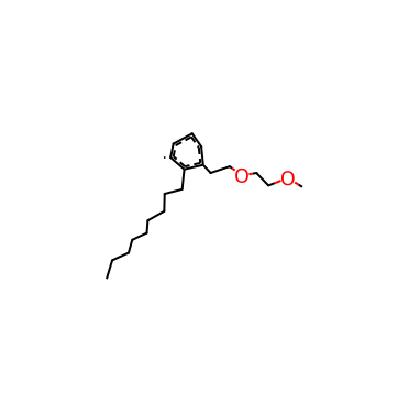 CCCCCCCCCc1[c]cccc1CCOCCOC